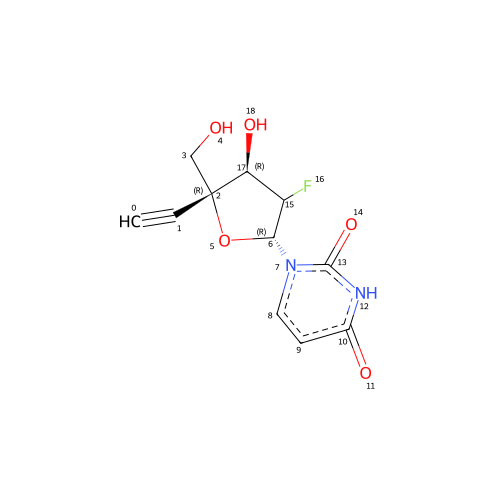 C#C[C@]1(CO)O[C@@H](n2ccc(=O)[nH]c2=O)C(F)[C@@H]1O